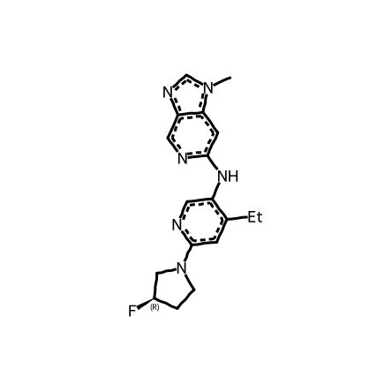 CCc1cc(N2CC[C@@H](F)C2)ncc1Nc1cc2c(cn1)ncn2C